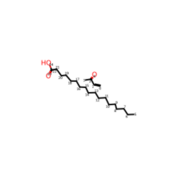 C=CC(C)=O.CCCCCCCCCCCCCCCCCC(=O)O